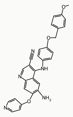 COc1ccc(COc2ccc(Nc3c(C#N)cnc4cc(Oc5ccncc5)c(N)cc34)cc2)cc1